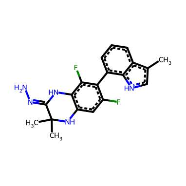 Cc1c[nH]c2c(-c3c(F)cc4c(c3F)N/C(=N\N)C(C)(C)N4)cccc12